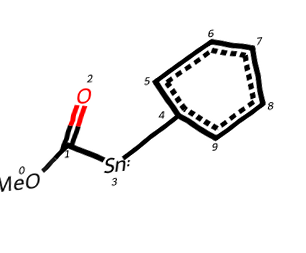 CO[C](=O)[Sn][c]1ccccc1